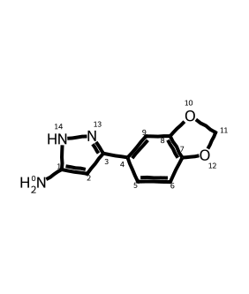 Nc1cc(-c2ccc3c(c2)OCO3)n[nH]1